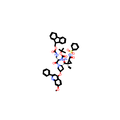 C=C[C@@]1(C(=O)[C@@H]2C[C@@H](Oc3cc(-c4ccccc4)nc4cc(OC)ccc34)CN2C(=O)[C@H](CNC(=O)OCC2c3ccccc3-c3ccccc32)NC(=O)OC(C)(C)C)C[C@]1(N)C(=O)NS(=O)(=O)c1ccccc1